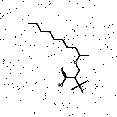 CCCCCCCCC(C)OCC(C(=O)O)C(C)(C)C